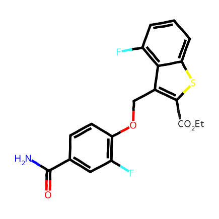 CCOC(=O)c1sc2cccc(F)c2c1COc1ccc(C(N)=O)cc1F